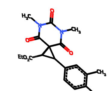 CCOC(=O)C1C(c2ccc(C)c(C)c2)C12C(=O)N(C)C(=O)N(C)C2=O